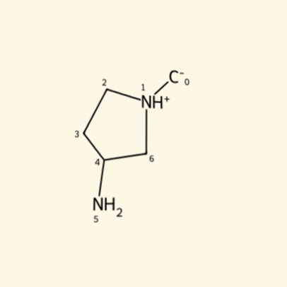 [CH2-][NH+]1CCC(N)C1